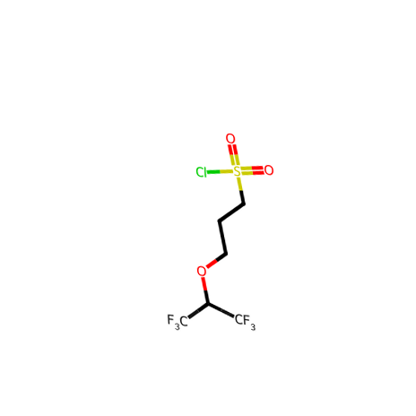 O=S(=O)(Cl)CCCOC(C(F)(F)F)C(F)(F)F